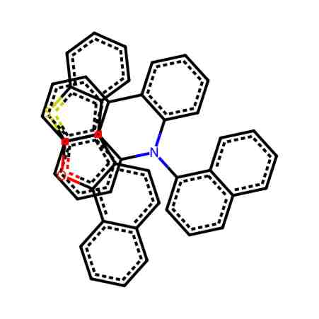 c1ccc(N(c2cccc3ccccc23)c2cccc3sc4ccccc4c23)c(-c2cccc3oc4c5ccccc5ccc4c23)c1